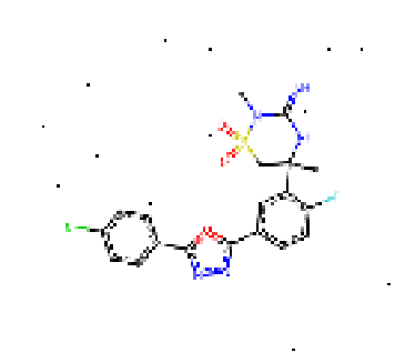 CN1C(=N)N[C@](C)(c2cc(-c3nnc(-c4ccc(Cl)cc4)o3)ccc2F)CS1(=O)=O